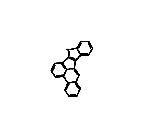 c1ccc2c(c1)cc1c3c(cccc32)-c2[nH]c3ccccc3c2-1